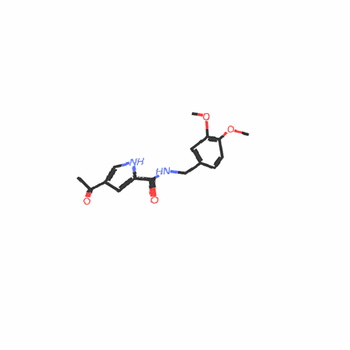 COc1ccc(CNC(=O)c2cc(C(C)=O)c[nH]2)cc1OC